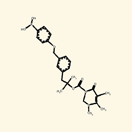 CC1=C(C)N(C)CN(C(=O)OC(C)(C)Cc2cccc(COc3ccc(B(O)O)cc3)c2)C1=O